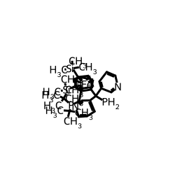 CC(C)(C)P(C[C]12[C]3(C(P)(c4cccnc4)c4cccnc4)[CH]4[C]5([Si](C)(C)C)[C]1([Si](C)(C)C)[Fe]42351678[CH]2[CH]1[CH]6[CH]7[CH]28)C(C)(C)C